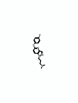 CN(C)CCCn1ncc2nc(Sc3ccc(F)cc3)ccc21